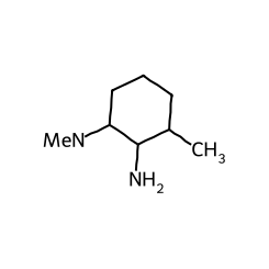 CNC1CCCC(C)C1N